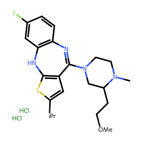 COCCC1CN(C2=Nc3ccc(F)cc3Nc3sc(C(C)C)cc32)CCN1C.Cl.Cl